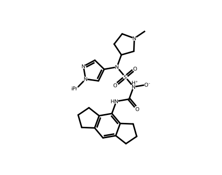 CC(C)n1cc(N(C2CCN(C)C2)S(=O)(=O)[NH+]([O-])C(=O)Nc2c3c(cc4c2CCC4)CCC3)cn1